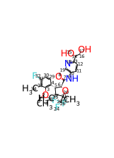 CCOc1c([C@@H]2[C@@H](C(=O)Nc3ccc([C@@H](O)CO)nc3)O[C@](C)(C(F)(F)F)[C@@H]2C)ccc(F)c1C